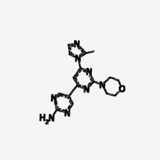 Cc1nccn1-c1cc(-c2cnc(N)nc2)nc(N2CCOCC2)n1